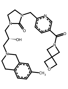 Cc1ccc2c(c1)CN(C[C@@H](O)CN1CCN(Cc3ccc(C(=O)N4CC5(COC5)C4)cn3)C1=O)CC2